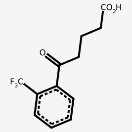 O=C(O)CCCC(=O)c1ccccc1C(F)(F)F